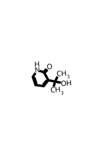 CC(C)(O)c1ccc[nH]c1=O